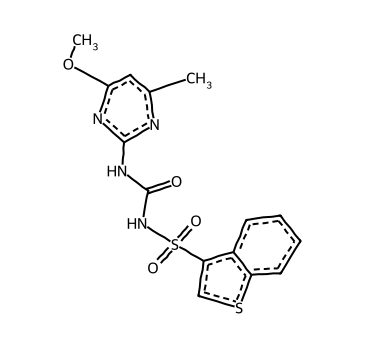 COc1cc(C)nc(NC(=O)NS(=O)(=O)c2csc3ccccc23)n1